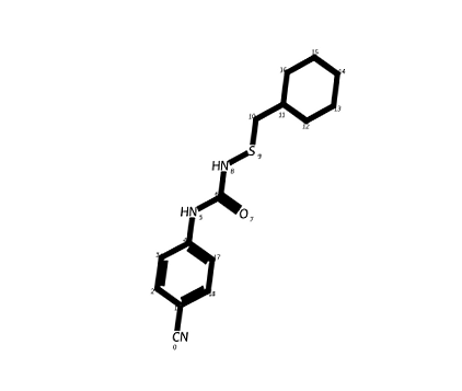 N#Cc1ccc(NC(=O)NSCC2CCCCC2)cc1